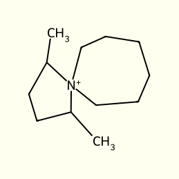 CC1CCC(C)[N+]12CCCCCC2